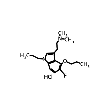 CCCOc1c(F)ccc2c1c(CCN(C)C)cn2CCC.Cl